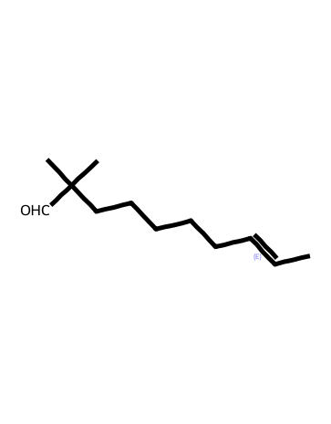 C/C=C/CCCCCC(C)(C)C=O